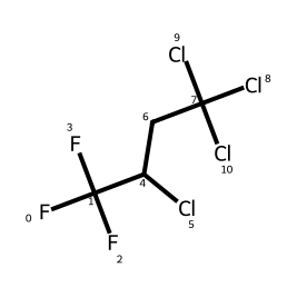 FC(F)(F)C(Cl)CC(Cl)(Cl)Cl